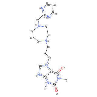 Cn1c(=O)c2c(ncn2CCCN2CCCN(Cc3ncccn3)CC2)n(C)c1=O